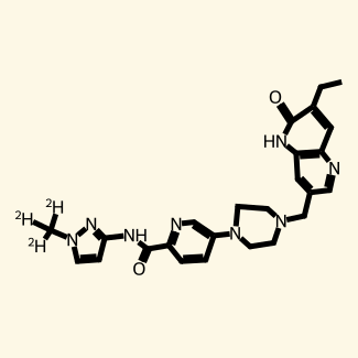 [2H]C([2H])([2H])n1ccc(NC(=O)c2ccc(N3CCN(Cc4cnc5cc(CC)c(=O)[nH]c5c4)CC3)cn2)n1